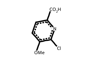 COc1ccc(C(=O)O)nc1Cl